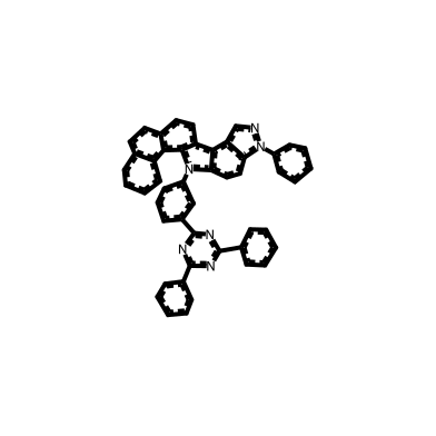 c1ccc(-c2nc(-c3ccccc3)nc(-c3cccc(-n4c5ccc6c(cnn6-c6ccccc6)c5c5ccc6ccc7ccccc7c6c54)c3)n2)cc1